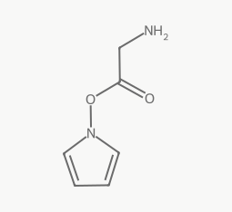 NCC(=O)On1cccc1